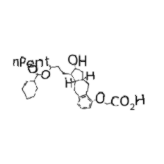 CCCCC[C@@H](CC[C@@H]1[C@H]2Cc3cccc(OCC(=O)O)c3C[C@H]2C[C@H]1O)OC(=O)C1CCCCC1